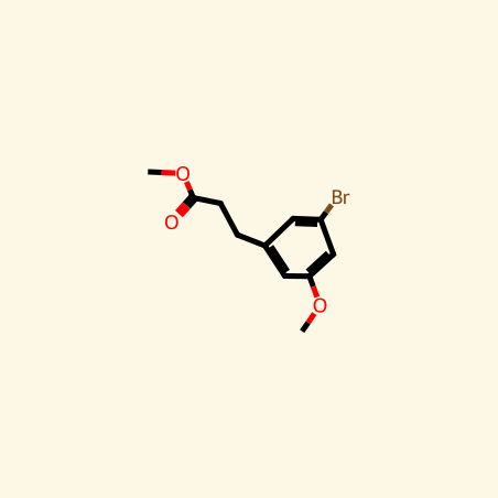 COC(=O)CCc1cc(Br)cc(OC)c1